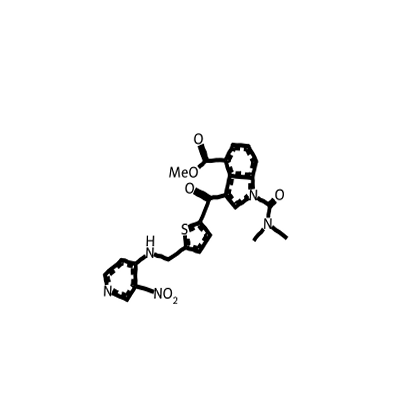 COC(=O)c1cccc2c1c(C(=O)c1ccc(CNc3ccncc3[N+](=O)[O-])s1)cn2C(=O)N(C)C